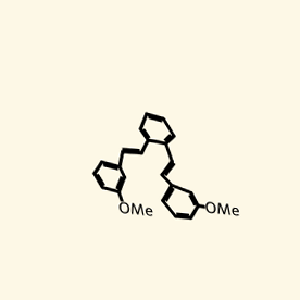 COc1cccc(C=Cc2ccccc2C=Cc2cccc(OC)c2)c1